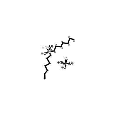 CCCCCCCP(O)(O)(O)CCCCCCC.O=P(O)(O)O